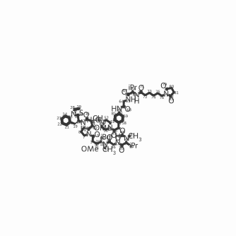 CC[C@H](C)[C@@H]([C@@H](CC(=O)N1CCC[C@H]1[C@H](OC)[C@@H](C)C(=O)N[C@@H](Cc1ccccc1)c1nccs1)OC)N(C)C(=O)CNC(=O)C(C(C)C)N(C)C(=O)OC(C(=O)N1CCN(C)CC1)c1ccc(NC(=O)CNC(=O)C(NC(=O)CCCCCN2C(=O)CCC2=O)C(C)C)cc1